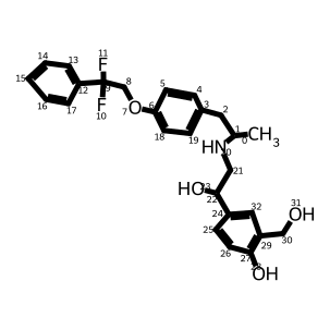 CC(Cc1ccc(OCC(F)(F)c2ccccc2)cc1)NCC(O)c1ccc(O)c(CO)c1